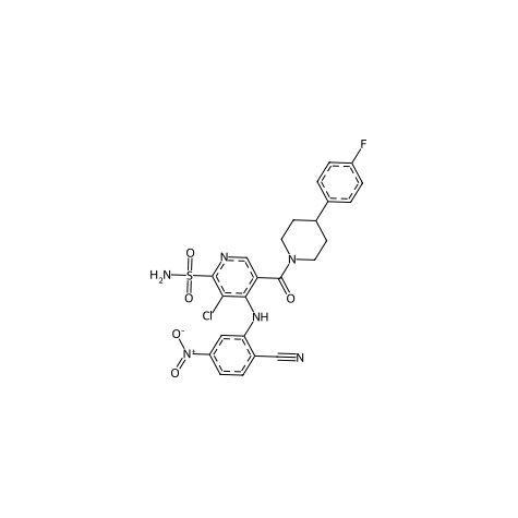 N#Cc1ccc([N+](=O)[O-])cc1Nc1c(C(=O)N2CCC(c3ccc(F)cc3)CC2)cnc(S(N)(=O)=O)c1Cl